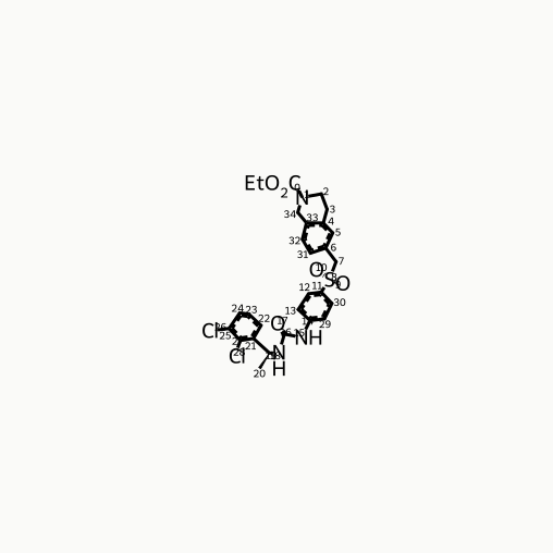 CCOC(=O)N1CCc2cc(CS(=O)(=O)c3ccc(NC(=O)N[C@@H](C)c4cccc(Cl)c4Cl)cc3)ccc2C1